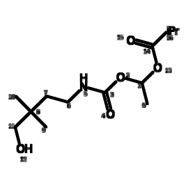 CC(OC(=O)NCCC(C)(C)CO)OC(=O)C(C)C